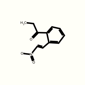 CCC(=O)c1ccccc1C=C[N+](=O)[O-]